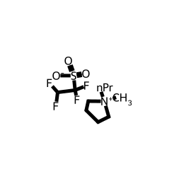 CCC[N+]1(C)CCCC1.O=S(=O)([O-])C(F)(F)C(F)F